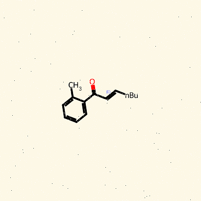 CCCC/C=C/C(=O)c1ccccc1C